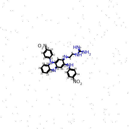 N=C(N)NCC/N=c1/cc2n(-c3ccc([N+](=O)[O-])cc3)c3ccccc3nc-2cc1Nc1ccc([N+](=O)[O-])cc1